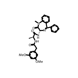 COc1cc(CC(=O)N[C@@H](C)C(=O)N[C@H]2N=C(c3ccccc3)c3ccccc3N(C)C2=O)cc(OC)c1